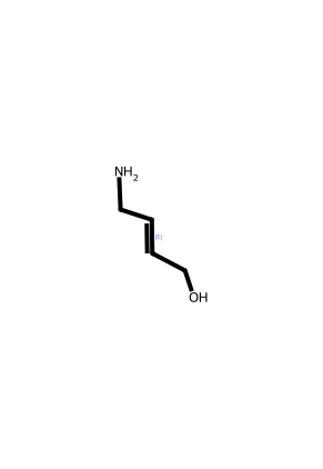 NC/C=C/CO